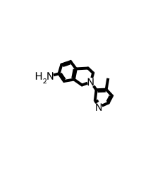 Cc1ccncc1N1CCc2ccc(N)cc2C1